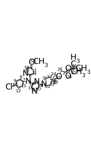 COc1ccc(N(c2ccc(Cl)cc2)c2cncc(N3CCC(F)(COCC(=O)OC(C)(C)C)CC3)n2)nc1